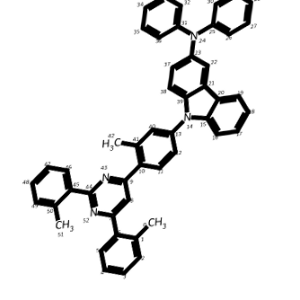 Cc1ccccc1-c1cc(-c2ccc(-n3c4ccccc4c4cc(N(c5ccccc5)c5ccccc5)ccc43)cc2C)nc(-c2ccccc2C)n1